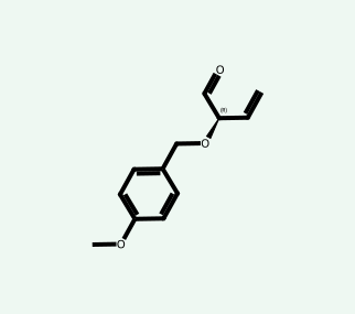 C=C[C@H](C=O)OCc1ccc(OC)cc1